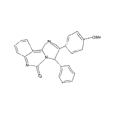 COc1ccc(C2=Nc3c4ccccc4nc(=O)n3C2c2ccccc2)cc1